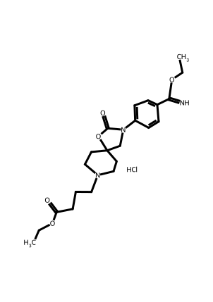 CCOC(=N)c1ccc(N2CC3(CCN(CCCC(=O)OCC)CC3)OC2=O)cc1.Cl